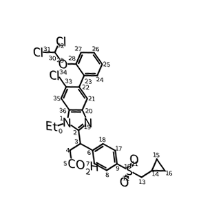 CCn1c(C(CC(=O)O)c2ccc(S(=O)(=O)CC3CC3)cc2)nc2cc(-c3ccccc3OC(Cl)Cl)c(Cl)cc21